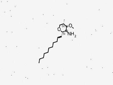 CCCCCCCCCC=C[C@@H]1OC[C@H](C)[C@H](OC)[C@H]1N